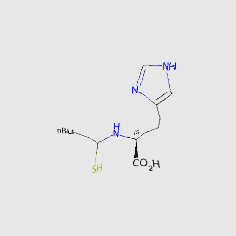 CCCCC(S)N[C@@H](Cc1c[nH]cn1)C(=O)O